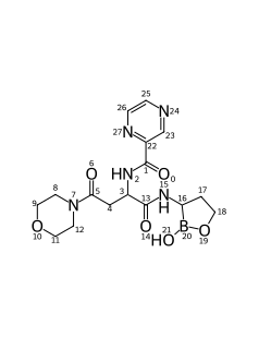 O=C(NC(CC(=O)N1CCOCC1)C(=O)NC1CCOB1O)c1cnccn1